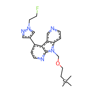 C[Si](C)(C)CCOCn1c2ccncc2c2c(-c3cnn(CCF)c3)ccnc21